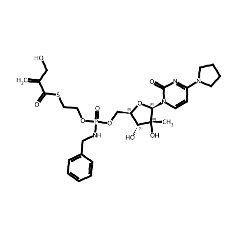 C=C(CO)C(=O)SCCOP(=O)(NCc1ccccc1)OC[C@H]1O[C@@H](n2ccc(N3CCCC3)nc2=O)[C@](C)(O)[C@@H]1O